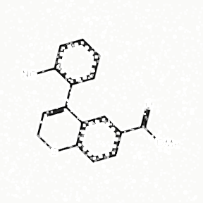 COC(=O)c1ccc2c(c1)C(c1ccccc1C#N)=CCS2